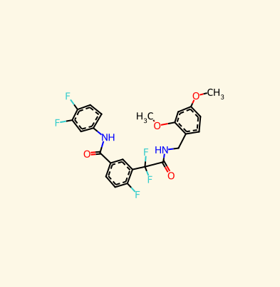 COc1ccc(CNC(=O)C(F)(F)c2cc(C(=O)Nc3ccc(F)c(F)c3)ccc2F)c(OC)c1